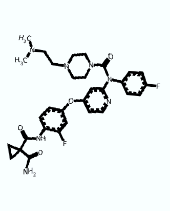 CN(C)CCN1CCN(C(=O)N(c2ccc(F)cc2)c2cc(Oc3ccc(NC(=O)C4(C(N)=O)CC4)c(F)c3)ccn2)CC1